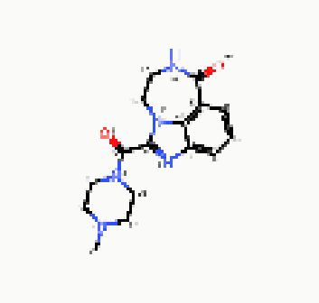 CN1CCN(C(=O)c2nc3cccc4c3n2CCNC4=O)CC1